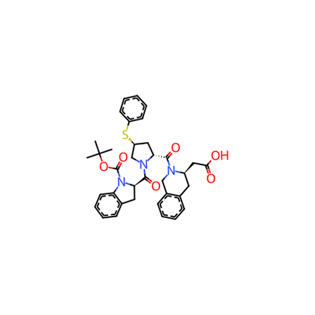 CC(C)(C)OC(=O)N1c2ccccc2C[C@@H]1C(=O)N1C[C@@H](Sc2ccccc2)C[C@@H]1C(=O)N1Cc2ccccc2C[C@@H]1CC(=O)O